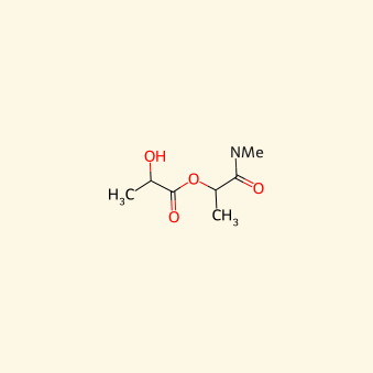 CNC(=O)C(C)OC(=O)C(C)O